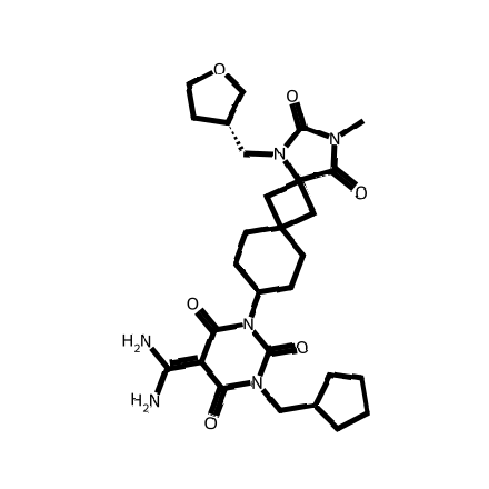 CN1C(=O)N(C[C@@H]2CCOC2)C2(CC3(CCC(N4C(=O)C(=C(N)N)C(=O)N(CC5CCCC5)C4=O)CC3)C2)C1=O